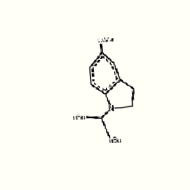 CCCCC(CCCC)N1CCc2cc(OC)ccc21